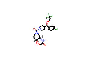 O=C1CO[C@H]2CCN(C(=O)N3CCC(C(OCC(F)(F)F)c4ccc(F)cc4)CC3)C[C@H]2N1